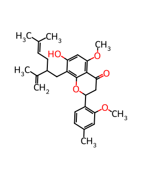 C=C(C)C(CC=C(C)C)Cc1c(O)cc(OC)c2c1OC(c1ccc(C)cc1OC)CC2=O